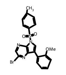 COc1ccccc1-c1cn(S(=O)(=O)c2ccc(C)cc2)c2ncc(Br)nc12